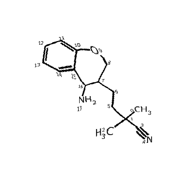 CC(C)(C#N)CCC1COc2ccccc2C1N